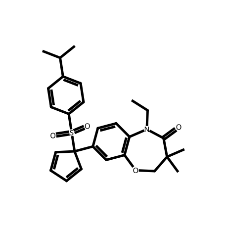 CCN1C(=O)C(C)(C)COc2cc(C3(S(=O)(=O)c4ccc(C(C)C)cc4)C=CC=C3)ccc21